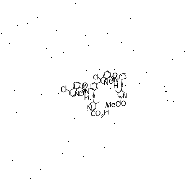 COC(=O)c1cc(C)c(C#Cc2ccccc2NS(=O)(=O)c2cccc3c(Cl)c(-c4ccc(NS(=O)(=O)c5cccc6c(Cl)ccnc56)c(C#Cc5cnc(C(=O)O)cc5C)c4)cnc23)cn1